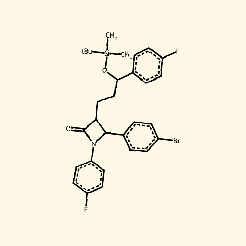 CC(C)(C)[Si](C)(C)OC(CCC1C(=O)N(c2ccc(F)cc2)C1c1ccc(Br)cc1)c1ccc(F)cc1